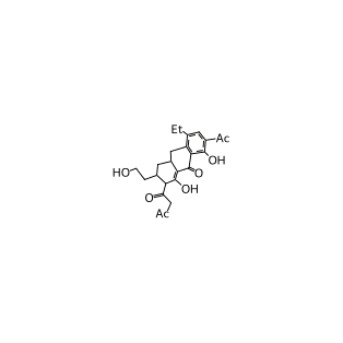 CCc1cc(C(C)=O)c(O)c2c1CC1CC(CCO)C(C(=O)CC(C)=O)C(O)=C1C2=O